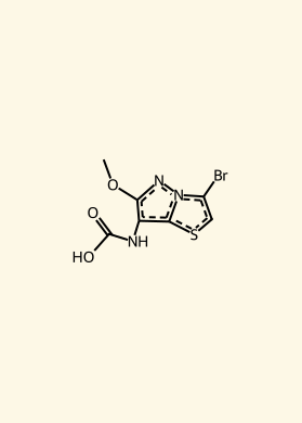 COc1nn2c(Br)csc2c1NC(=O)O